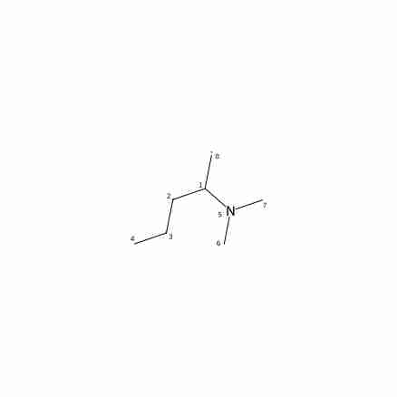 [CH2]C(CCC)N(C)C